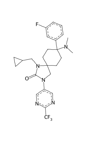 CN(C)C1(c2cccc(F)c2)CCC2(CC1)CN(c1cnc(C(F)(F)F)nc1)C(=O)N2CC1CC1